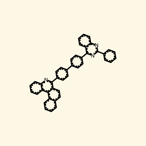 c1ccc(-c2nc(-c3ccc(-c4ccc(-c5nc6ccccc6c6c5ccc5ccccc56)cc4)cc3)c3ccccc3n2)cc1